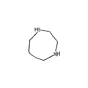 B1CCCNCC1